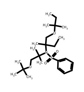 CCC(C)(C)OCC(C)(CC)N(C(C)(C)COC(C)(C)C)S(=O)(=O)c1ccccc1